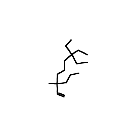 C=CC(C)(CCC)CCCC(CC)(CC)CC